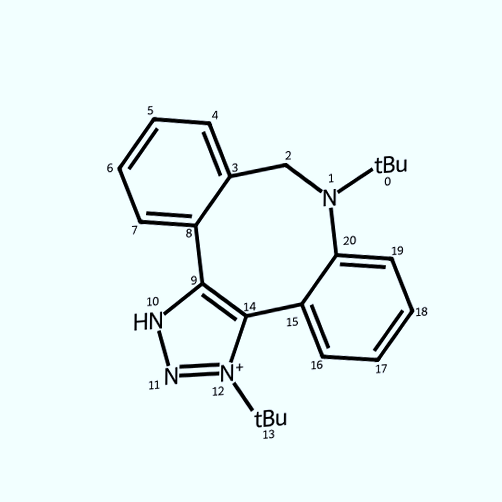 CC(C)(C)N1Cc2ccccc2-c2[nH]n[n+](C(C)(C)C)c2-c2ccccc21